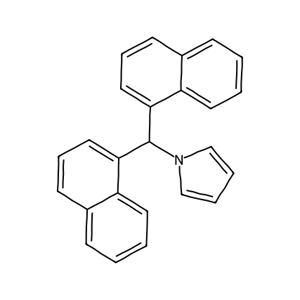 c1ccc2c(C(c3cccc4ccccc34)n3cccc3)cccc2c1